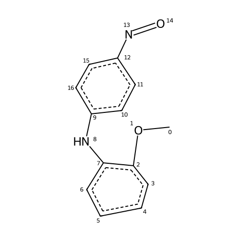 COc1ccccc1Nc1ccc(N=O)cc1